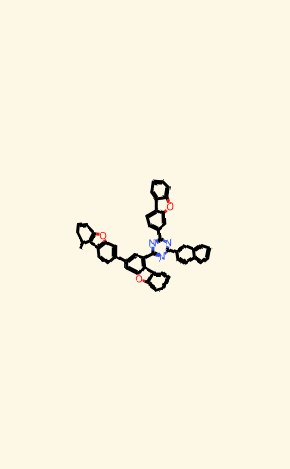 CC1CC=Cc2oc3cc(-c4cc(-c5nc(-c6ccc7ccccc7c6)nc(-c6ccc7c(c6)oc6ccccc67)n5)c5c(c4)oc4ccccc45)ccc3c21